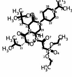 CCOP(=O)(CC(=O)N1O[C@H](CC(C)C)C(=O)N2[C@@H]1CN(C1CCN(C(C)C)CC1)C(=O)[C@@H]2CC(C)(C)C)OCC